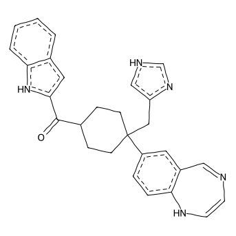 O=C(c1cc2ccccc2[nH]1)C1CCC(Cc2c[nH]cn2)(c2ccc3c(c2)C=NC=CN3)CC1